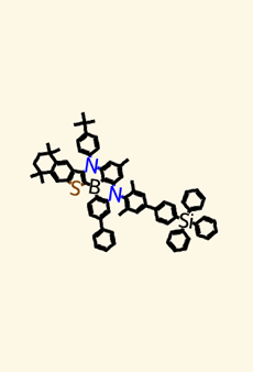 Cc1cc2c3c(c1)N(c1ccc(C(C)(C)C)cc1)c1c(sc4cc5c(cc14)C(C)(C)CCC5(C)C)B3c1ccc(-c3ccccc3)cc1N2c1c(C)cc(-c2ccc([Si](c3ccccc3)(c3ccccc3)c3ccccc3)cc2)cc1C